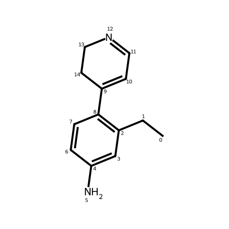 CCc1cc(N)ccc1C1=CC=NCC1